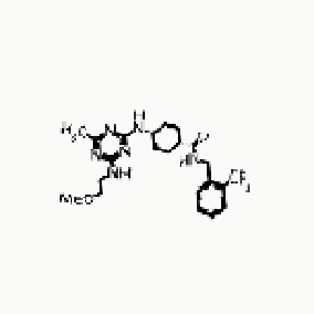 COCCNc1nc(C)nc(N[C@H]2CC[C@@H](C(=O)NCc3ccccc3C(F)(F)F)CC2)n1